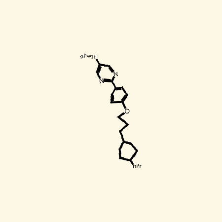 CCCCCc1cnc(-c2ccc(OCCCC3CCC(CCC)CC3)cc2)nc1